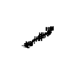 CC(=O)NC(CCC(=O)NCCOCCOCC(=O)NCCOCCOCC(=O)NCCCC[C@H](CC(=O)CCc1cnc[nH]1)C(=O)O)C(=O)O